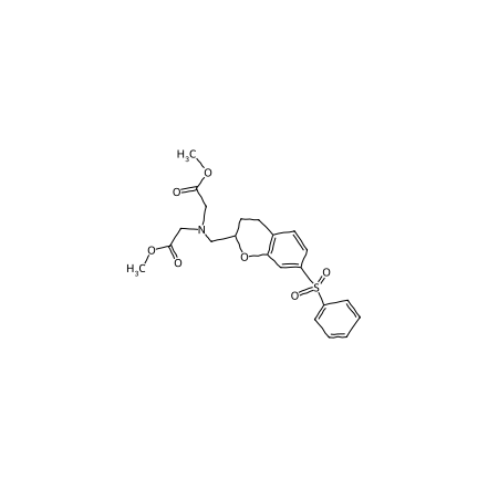 COC(=O)CN(CC(=O)OC)CC1CCc2ccc(S(=O)(=O)c3ccccc3)cc2O1